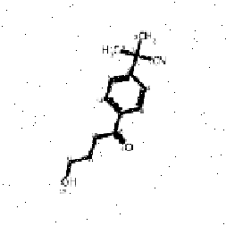 CC(C)(C#N)c1ccc(C(=O)CCCO)cc1